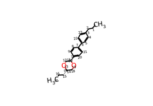 CCCc1ccc(-c2ccc([C@@H]3CO[C@@H](CCC)CO3)cc2)cc1